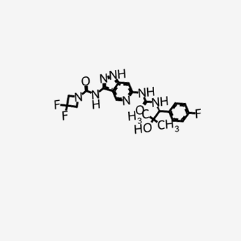 CC(C)(O)[C@@H](NC(=O)Nc1cc2[nH]nc(NC(=O)N3CC(F)(F)C3)c2cn1)c1ccc(F)cc1